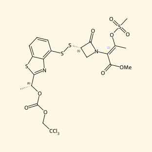 COC(=O)/C(=C(\C)OS(C)(=O)=O)N1C[C@H](SSc2cccc3sc([C@@H](C)OC(=O)OCC(Cl)(Cl)Cl)nc23)C1=O